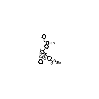 CC(C)(C)OC(=O)N1CC=C(c2cc3c(-c4ccc5c(C#N)cn(Cc6ccccc6)c5c4)ncnc3n2S(=O)(=O)c2ccccc2)CC1